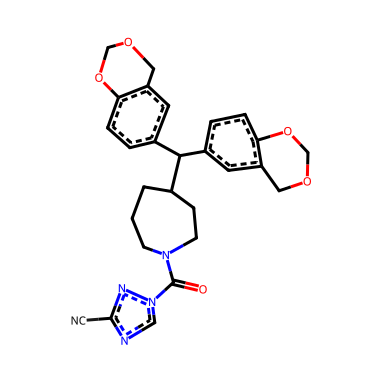 N#Cc1ncn(C(=O)N2CCCC(C(c3ccc4c(c3)COCO4)c3ccc4c(c3)COCO4)CC2)n1